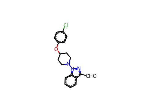 O=Cc1nn(N2CCC(Oc3ccc(Cl)cc3)CC2)c2ccccc12